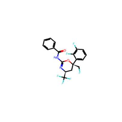 O=C(NC1=N[C@H](C(F)(F)F)C[C@@](CF)(c2cccc(F)c2F)O1)c1ccccc1